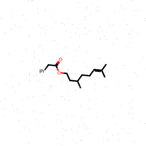 CC(C)=CCCC(C)CCOC(=O)CC(C)C